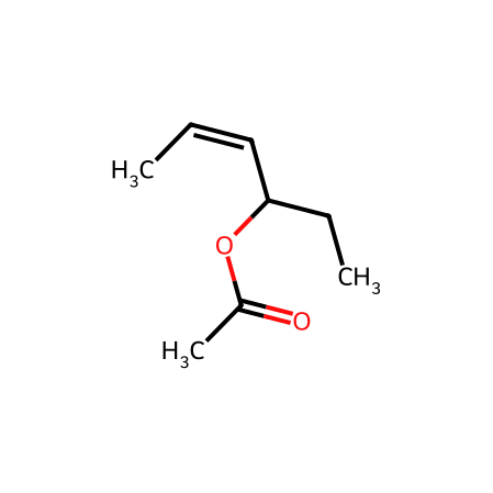 C/C=C\C(CC)OC(C)=O